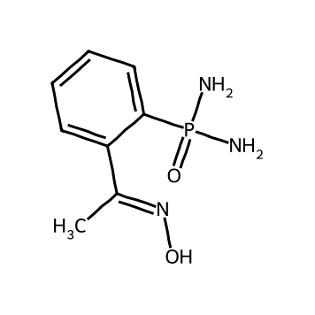 CC(=NO)c1ccccc1P(N)(N)=O